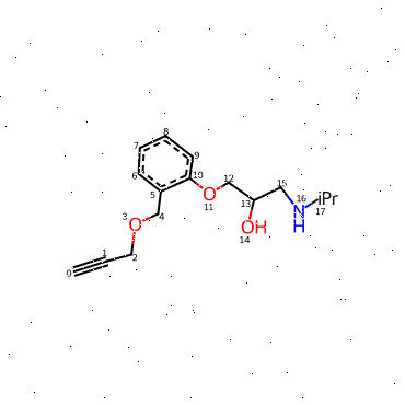 C#CCOCc1ccccc1OCC(O)CNC(C)C